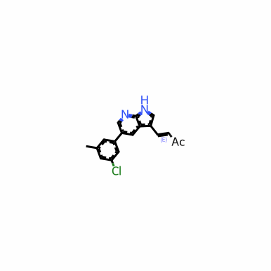 CC(=O)/C=C/c1c[nH]c2ncc(-c3cc(C)cc(Cl)c3)cc12